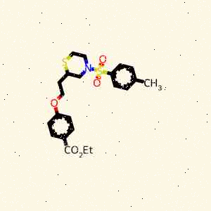 CCOC(=O)c1ccc(OCCC2CN(S(=O)(=O)c3ccc(C)cc3)CCS2)cc1